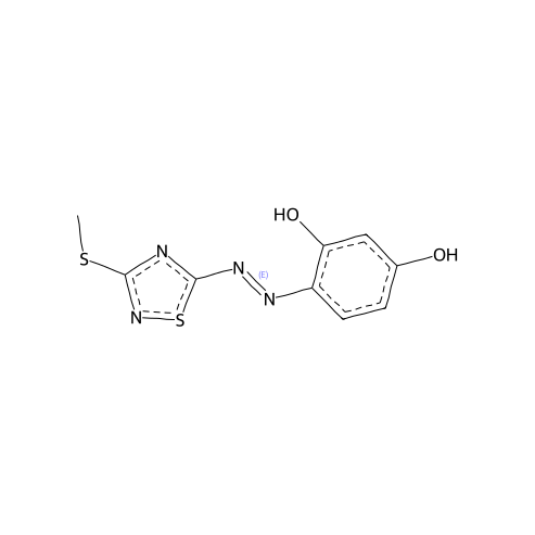 CSc1nsc(/N=N/c2ccc(O)cc2O)n1